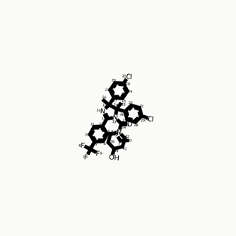 CCOc1cc(C(F)(F)F)ccc1C1=NC(C)(c2ccc(Cl)cc2)C(C)(c2ccc(Cl)cc2)N1C(=O)N1CCC(O)CC1